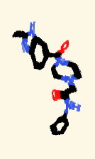 Cc1nc2ccc(C(=O)N3CCN(CC(=O)Nc4ccccc4)CC3)cc2[nH]1